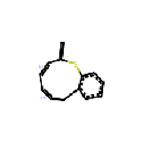 C=C1/C=C\C=C/Cc2ccccc2S1